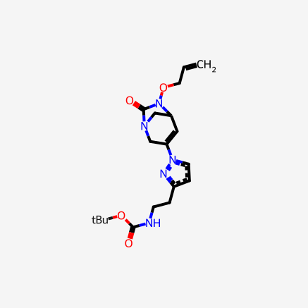 C=CCON1C(=O)N2CC(n3ccc(CCNC(=O)OC(C)(C)C)n3)=CC1C2